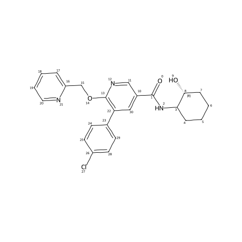 O=C(NC1CCCC[C@H]1O)c1cnc(OCc2ccccn2)c(-c2ccc(Cl)cc2)c1